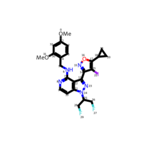 COc1ccc(CNc2nccc3c2c(-c2noc(C4CC4)c2I)nn3C(CF)CF)c(OC)c1